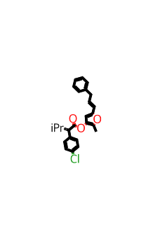 Cc1oc(C=CCc2ccccc2)cc1OC(=O)C(c1ccc(Cl)cc1)C(C)C